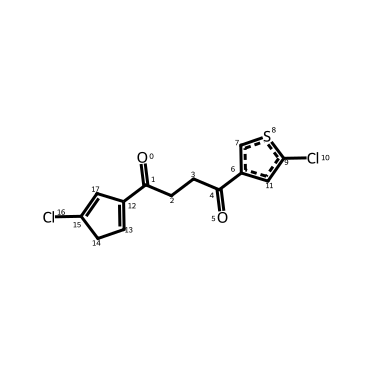 O=C(CCC(=O)c1csc(Cl)c1)C1=CCC(Cl)=C1